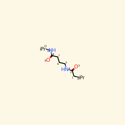 CC(C)CC(=O)NCCCC(=O)NC(C)C